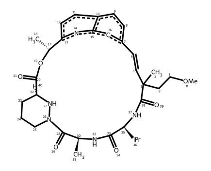 COCCC1(C)/C=C/c2ccc3ccc(nc3c2)[C@@H](C)OC(=O)[C@@H]2CCCN(N2)C(=O)[C@H](C)NC(=O)[C@H](C(C)C)NC1=O